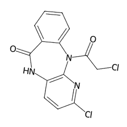 O=C1Nc2ccc(Cl)nc2N(C(=O)CCl)c2ccccc21